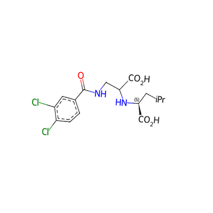 CC(C)C[C@H](NC(CNC(=O)c1ccc(Cl)c(Cl)c1)C(=O)O)C(=O)O